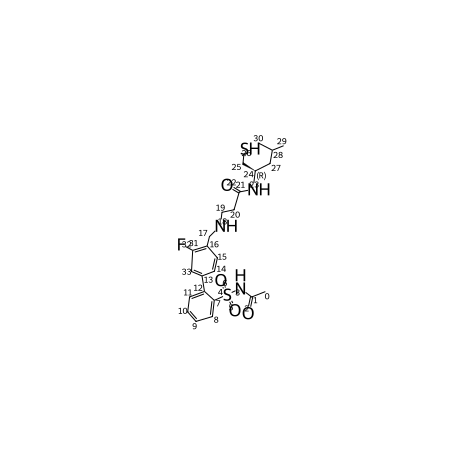 CC(=O)NS(=O)(=O)c1ccccc1-c1ccc(CNCCC(=O)N[C@@H](CS)CC(C)C)c(F)c1